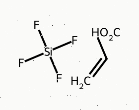 C=CC(=O)O.F[Si](F)(F)F